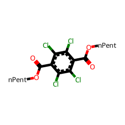 CCCCCOC(=O)c1c(Cl)c(Cl)c(C(=O)OCCCCC)c(Cl)c1Cl